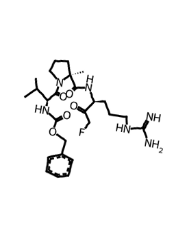 CC(C)[C@H](NC(=O)OCc1ccccc1)C(=O)N1CCC[C@@]1(C)C(=O)N[C@@H](CCCNC(=N)N)C(=O)CF